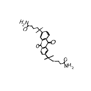 CC(C)(CCCC(N)=O)c1ccc2c(c1)C(=O)c1ccc(C(C)(C)CCCC(N)=O)cc1C2=O